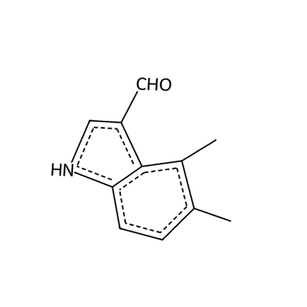 Cc1ccc2[nH]cc(C=O)c2c1C